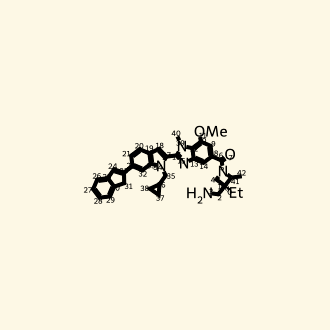 CC[C@@]1(CN)CN(C(=O)c2cc(OC)c3c(c2)nc(-c2cc4ccc(C5=Cc6ccccc6C5)cc4n2CC2CC2)n3C)C1C